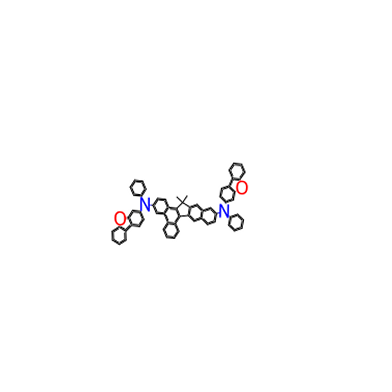 CC1(C)c2cc3cc(N(c4ccccc4)c4ccc5c(c4)oc4ccccc45)ccc3cc2-c2c1c1ccc(N(c3ccccc3)c3ccc4c(c3)oc3ccccc34)cc1c1ccccc21